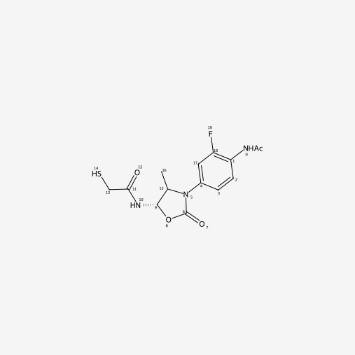 CC(=O)Nc1ccc(N2C(=O)O[C@H](NC(=O)CS)C2C)cc1F